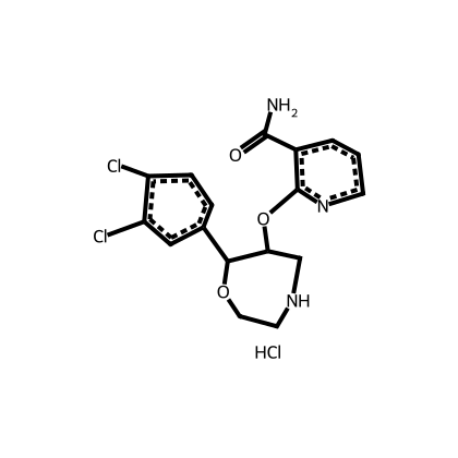 Cl.NC(=O)c1cccnc1OC1CNCCOC1c1ccc(Cl)c(Cl)c1